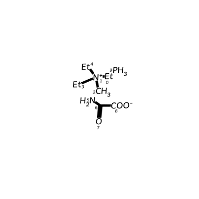 CC[N+](C)(CC)CC.NC(=O)C(=O)[O-].P